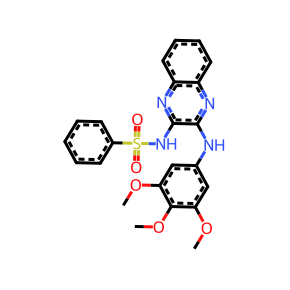 COc1cc(Nc2nc3ccccc3nc2NS(=O)(=O)c2ccccc2)cc(OC)c1OC